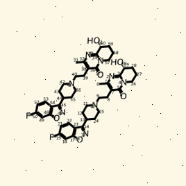 Cc1nc2n(c(=O)c1CCN1CCC(c3noc4cc(F)ccc34)CC1)CCC[C@H]2O.Cc1nc2n(c(=O)c1CCN1CCC(c3noc4cc(F)ccc34)CC1)CCC[C@H]2O